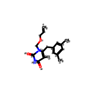 C=CCOCn1c(Cc2cc(C)cc(C)c2)c(CC)c(=O)[nH]c1=O